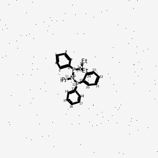 CCN(CC)P(c1ccccc1)N(C(C)C)P(c1ccccc1)c1ccccc1